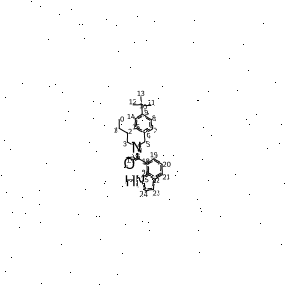 CCCCN(Cc1ccc(C(C)(C)C)cc1)C(=O)c1cccc2cc[nH]c12